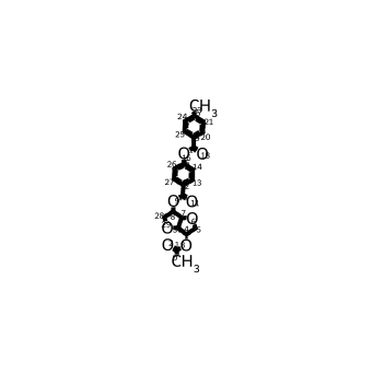 CC(=O)O[C@@H]1COC2C(OC(=O)c3ccc(OC(=O)c4ccc(C)cc4)cc3)COC21